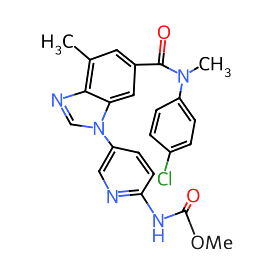 COC(=O)Nc1ccc(-n2cnc3c(C)cc(C(=O)N(C)c4ccc(Cl)cc4)cc32)cn1